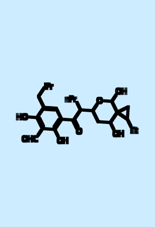 CCCC(C(=O)c1cc(CC(C)C)c(O)c(C=O)c1O)C1CC(O)C2(CC2CC)C(O)O1